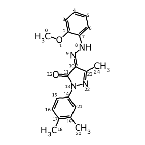 COc1ccccc1N/N=C1/C(=O)N(c2ccc(C)c(C)c2)N=C1C